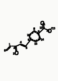 C=CC(=O)C=Cc1ccc(C(=O)OC)cc1